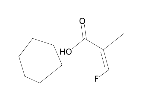 C1CCCCC1.CC(=CF)C(=O)O